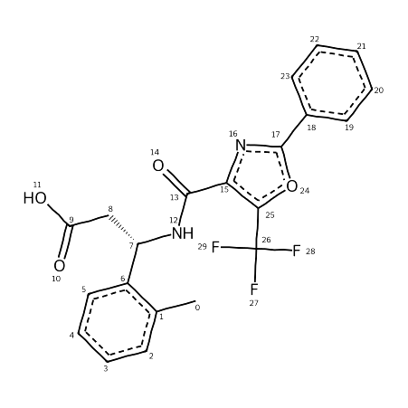 Cc1ccccc1[C@H](CC(=O)O)NC(=O)c1nc(-c2ccccc2)oc1C(F)(F)F